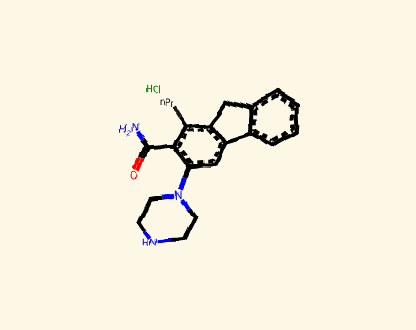 CCCc1c2c(cc(N3CCNCC3)c1C(N)=O)-c1ccccc1C2.Cl